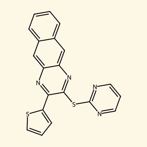 c1cnc(Sc2nc3cc4ccccc4cc3nc2-c2cccs2)nc1